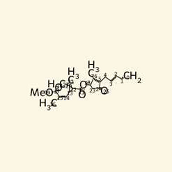 C=CC=CCC1=C(C)C(OC(=O)C2C(C=C(C)C(=O)OC)C2(C)C)CC1=O